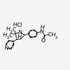 CC(=O)Nc1ccc(C2CC(c3ccncc3)C(C)(C)N2)cc1.Cl